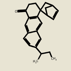 CCC(C)c1ccc2cc3c(cc2c1)C1(CCC3=O)CC2C=CC1C2